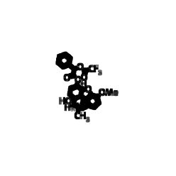 COc1ccc2c3c1O[C@H]1C(OC(=O)C(OC(=O)C(F)(F)F)c4ccccc4)=CC[C@@]4(O)[C@@H](C2)N(C)CC[C@]314